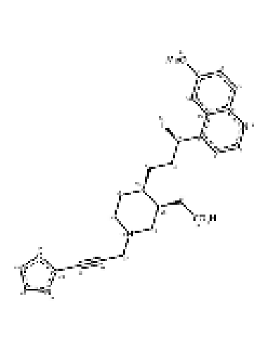 COc1ccc2nccc([C@H](F)CC[C@@H]3CCN(CC#Cc4ncco4)C[C@@H]3CC(=O)O)c2c1